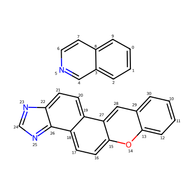 c1ccc2cnccc2c1.c1ccc2oc3ccc4c(ccc5ncnc54)c3cc2c1